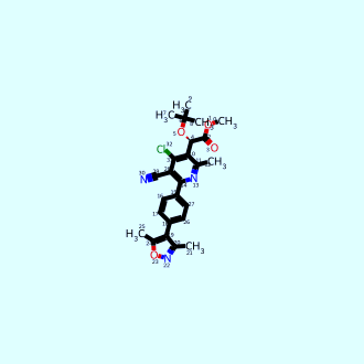 COC(=O)[C@@H](OC(C)(C)C)c1c(C)nc(-c2ccc(-c3c(C)noc3C)cc2)c(C#N)c1Cl